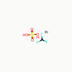 FC(F)F.O=S(=O)(O)O.[Pr]